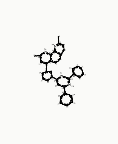 Cc1ccc2ccc3c(-c4cccc(-c5cc(-c6ccccc6)nc(-c6ccccc6)n5)c4)cc(C)nc3c2n1